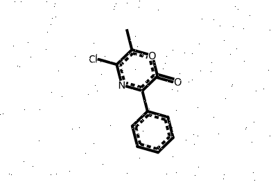 Cc1oc(=O)c(-c2ccccc2)nc1Cl